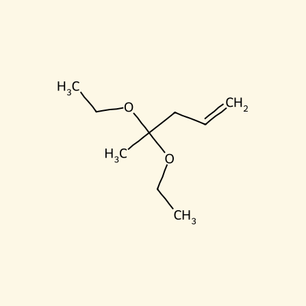 C=CCC(C)(OCC)OCC